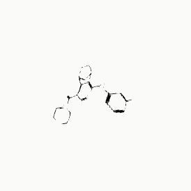 O=C(c1cnc(Nc2cccc(Cl)c2)c2c1C1CCC2C1)N1CCOCC1